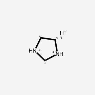 C1CNCN1.[H+]